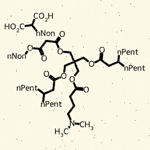 CCCCCCCCCC(C(=O)O)C(=O)O.CCCCCCCCCOC(=O)CC(=O)OCC(COC(=O)CCCN(C)C)(COC(=O)CC(CCCCC)CCCCC)COC(=O)CC(CCCCC)CCCCC